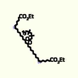 CCOC(=O)CCCC/C=C\CCCCCCCCC(CCCCCCCC/C=C\CCCCC(=O)OCC)OC(=O)CC(C)(C)CC(C)(C)CN(C)C